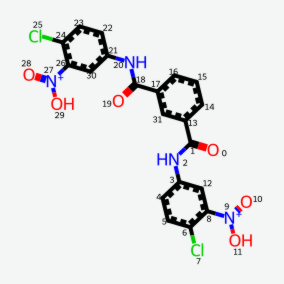 O=C(Nc1ccc(Cl)c([N+](=O)O)c1)c1cccc(C(=O)Nc2ccc(Cl)c([N+](=O)O)c2)c1